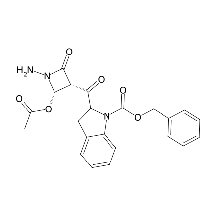 CC(=O)O[C@H]1[C@@H](C(=O)C2Cc3ccccc3N2C(=O)OCc2ccccc2)C(=O)N1N